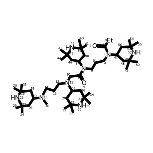 CCC(=O)N(CCCN(C(=O)CN(CCCN(C)C1CC(C)(C)NC(C)(C)C1)C1CC(C)(C)NC(C)(C)C1)C1CC(C)(C)NC(C)(C)C1)C1CC(C)(C)NC(C)(C)C1